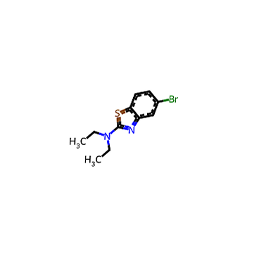 CCN(CC)c1nc2cc(Br)ccc2s1